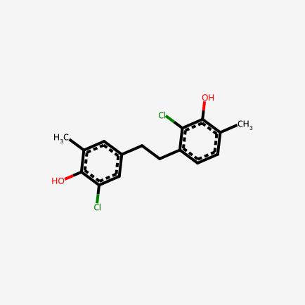 Cc1cc(CCc2ccc(C)c(O)c2Cl)cc(Cl)c1O